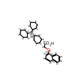 C1CC[CH]([SnH]([CH]2CCCCC2)[CH]2CCCCC2)CC1.O=C(O)COc1cccc2ccccc12